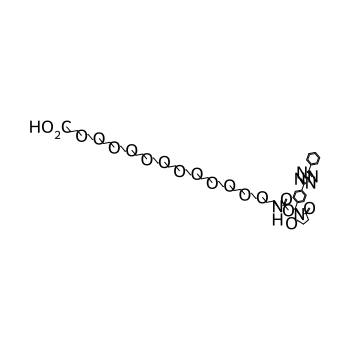 O=C(O)CCOCCOCCOCCOCCOCCOCCOCCOCCOCCOCCOCCOCCNC(=O)OC(c1ccc(-c2nnc(-c3ccccc3)nn2)cc1)N1C(=O)CCC1=O